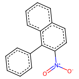 O=[N+]([O-])c1ccc2ccccc2c1-c1ccccc1